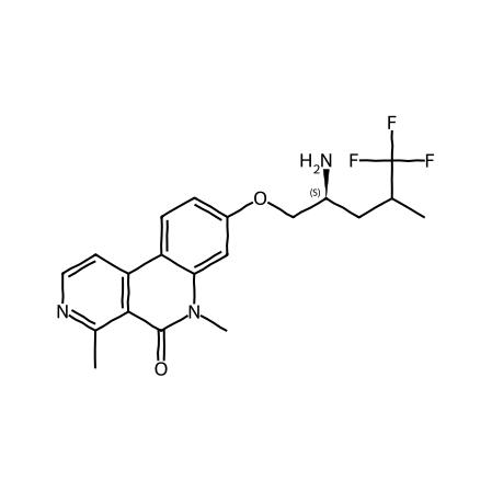 Cc1nccc2c1c(=O)n(C)c1cc(OC[C@@H](N)CC(C)C(F)(F)F)ccc21